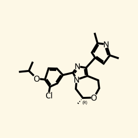 Cc1cc(-c2nc(-c3ccc(OC(C)C)c(Cl)c3)n3c2CCO[C@H](C)C3)cc(C)n1